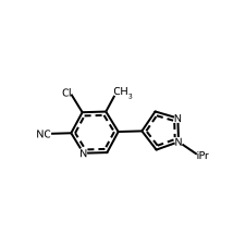 Cc1c(-c2cnn(C(C)C)c2)cnc(C#N)c1Cl